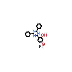 CCOc1ccc(-c2nc(-c3ccccc3)nc(-c3ccccc3)n2)c(O)c1